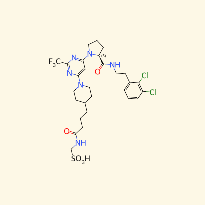 O=C(CCCC1CCN(c2cc(N3CCC[C@H]3C(=O)NCCc3cccc(Cl)c3Cl)nc(C(F)(F)F)n2)CC1)NCS(=O)(=O)O